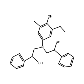 CCc1cc(N(CC(O)c2ccccc2)CC(O)c2ccccc2)cc(C)c1O